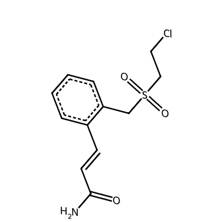 NC(=O)C=Cc1ccccc1CS(=O)(=O)CCCl